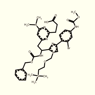 COC(=O)Nc1ccc(-c2cn(COCC[Si](C)(C)C)c(C(Cc3cc(N(C)C)nc(CCC(=O)O)n3)NC(=O)OCc3ccccc3)n2)c(Br)c1